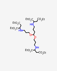 CCOC(=O)CC(NCCCOC(CCCNC(CC(=O)OCC)C(=O)OCC)OCCCNC(CC(=O)OCC)C(=O)OCC)C(=O)OCC